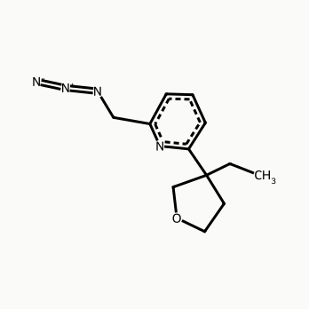 CCC1(c2cccc(CN=[N+]=[N-])n2)CCOC1